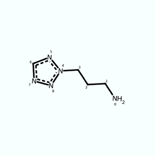 NCCCn1ncnn1